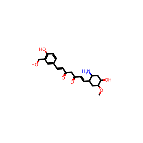 COC1CC(/C=C/C(=O)CC(=O)/C=C/c2ccc(O)c(CO)c2)C(N)CC1O